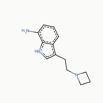 Nc1cccc2c(CCN3CCC3)c[nH]c12